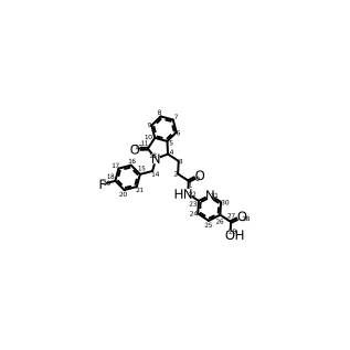 O=C(CCC1c2ccccc2C(=O)N1Cc1ccc(F)cc1)Nc1ccc(C(=O)O)cn1